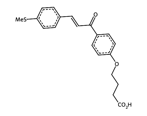 CSc1ccc(/C=C/C(=O)c2ccc(OCCCC(=O)O)cc2)cc1